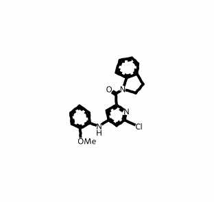 COc1ccccc1Nc1cc(Cl)nc(C(=O)N2CCc3ccccc32)c1